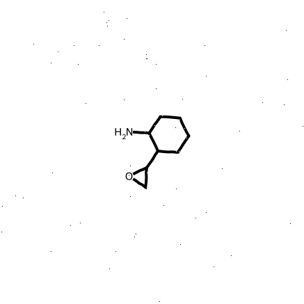 NC1CCCCC1C1CO1